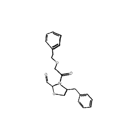 O=CC1OCC(Cc2ccccc2)N1C(=O)COCc1ccccc1